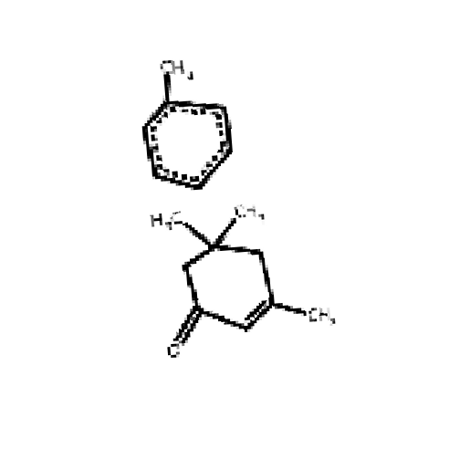 CC1=CC(=O)CC(C)(C)C1.Cc1ccccc1